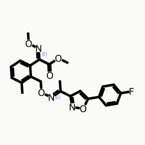 CO/N=C(/C(=O)OC)c1cccc(C)c1CO/N=C(\C)c1cc(-c2ccc(F)cc2)on1